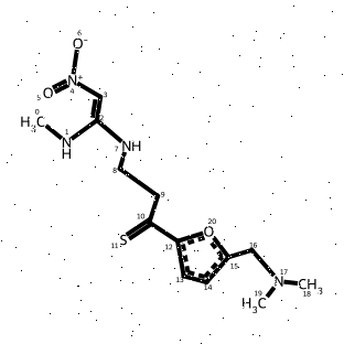 CNC(=C[N+](=O)[O-])NCCC(=S)c1ccc(CN(C)C)o1